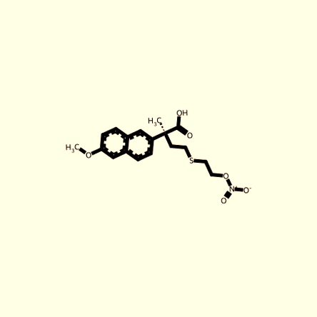 COc1ccc2cc([C@](C)(CCSCCO[N+](=O)[O-])C(=O)O)ccc2c1